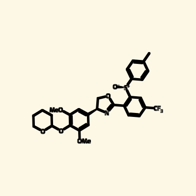 COc1cc([C@H]2COC(c3ccc(C(F)(F)F)cc3[S@@+]([O-])c3ccc(C)cc3)=N2)cc(OC)c1OC1CCCCO1